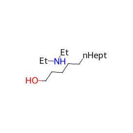 CCCCCCCCCCCCO.CCNCC